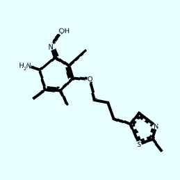 CC1=C(OCCCc2cnc(C)s2)C(C)=C(C)C(N)C1=NO